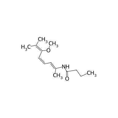 CCCC(=O)N/C(C)=C/C=C\C(OC)=C(C)C